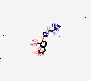 N[C@H](C(=O)N1CC(Oc2ccc3c(c2C(O)O)O[B-](O)(O)CC3)C1)c1c[nH]cn1